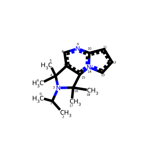 CC(C)N1C(C)(C)c2cnc3cccn3c2C1(C)C